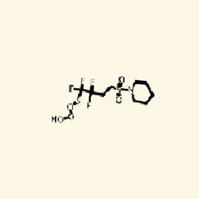 O=S(=O)(CCC(F)(F)C(F)(F)SOOO)N1CCCCC1